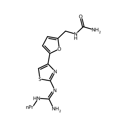 CCCNC(N)=Nc1nc(-c2ccc(CNC(N)=O)o2)cs1